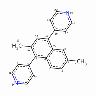 Cc1ccc2c(-c3ccncc3)c(C)cc(-c3ccncc3)c2c1